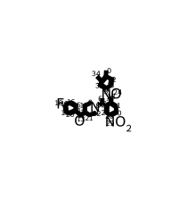 Cc1ccc(N(CCN2CCC(C(=O)c3ccc(F)cc3)CC2)C(=O)c2ccc([N+](=O)[O-])cc2)cc1C